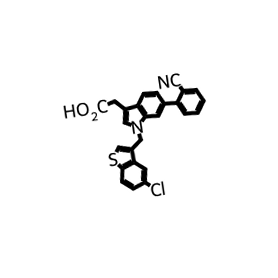 N#Cc1ccccc1-c1ccc2c(CC(=O)O)cn(Cc3csc4ccc(Cl)cc34)c2c1